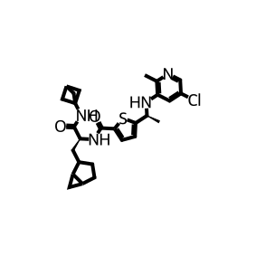 Cc1ncc(Cl)cc1N[C@@H](C)c1ccc(C(=O)N[C@@H](CC2CCC3CC32)C(=O)NC23CC(C2)C3)s1